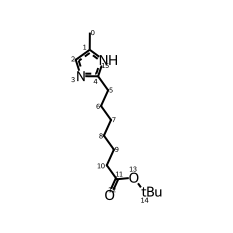 Cc1cnc(CCCCCCC(=O)OC(C)(C)C)[nH]1